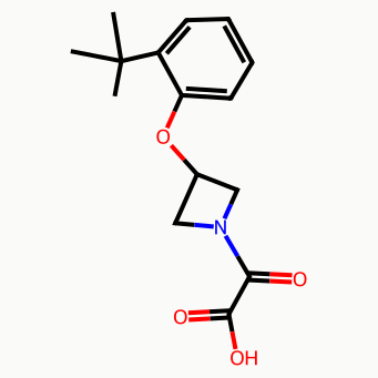 CC(C)(C)c1ccccc1OC1CN(C(=O)C(=O)O)C1